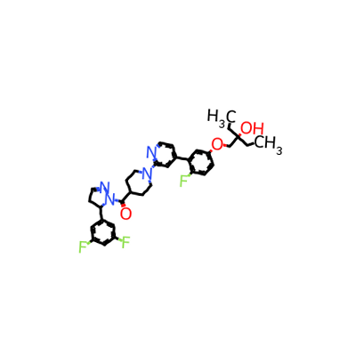 CCC(O)(CC)COc1ccc(F)c(-c2ccnc(N3CCC(C(=O)N4N=CCC4c4cc(F)cc(F)c4)CC3)c2)c1